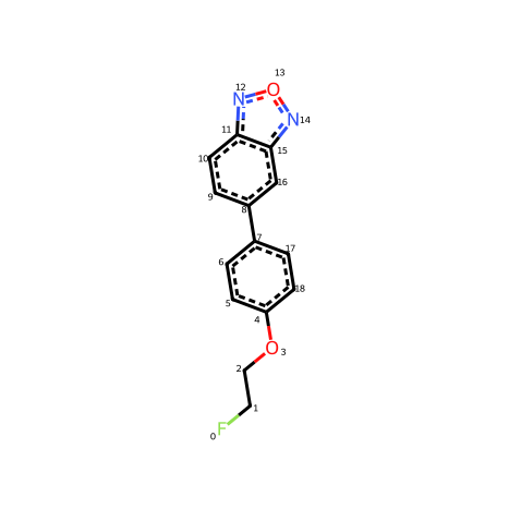 FCCOc1ccc(-c2ccc3nonc3c2)cc1